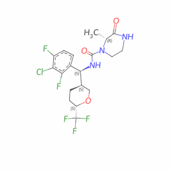 C[C@@H]1C(=O)NCCN1C(=O)N[C@H](c1ccc(F)c(Cl)c1F)[C@@H]1CC[C@@H](C(F)(F)F)OC1